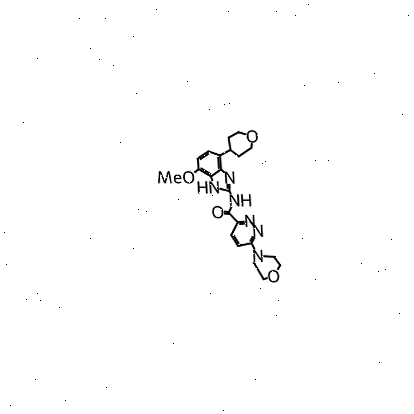 COc1ccc(C2CCOCC2)c2nc(NC(=O)c3ccc(N4CCOCC4)nn3)[nH]c12